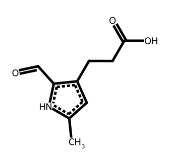 Cc1cc(CCC(=O)O)c(C=O)[nH]1